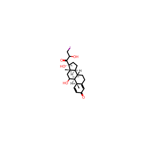 C[C@]12C=CC(=O)C=C1CC[C@@H]1[C@@H]2C(O)C[C@@]2(C)[C@H]1CC[C@]2(O)C(=O)C(O)CI